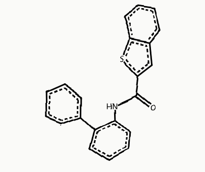 O=C(Nc1ccccc1-c1[c]cccc1)c1cc2ccccc2s1